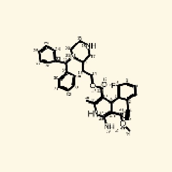 C#Cc1cccc(F)c1C1C(C(=O)OCCC2CNCCN2C(c2ccccc2)c2ccccc2)=C(C)NC(N)=C1C(=O)OC